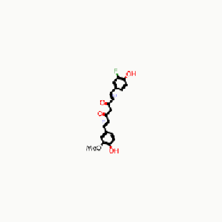 COc1cc(/C=C/C(=O)CC(=O)/C=C/c2ccc(O)c(F)c2)ccc1O